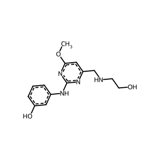 COc1cc(CNCCO)nc(Nc2cccc(O)c2)n1